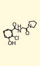 O=C(NCC(=O)N1CCCC1)c1cccc(O)c1Cl